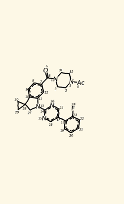 CC(=O)N1CCN(C(=O)c2ccc3c(c2)N(c2ncc(-c4ccccc4F)cn2)CC32CC2)CC1